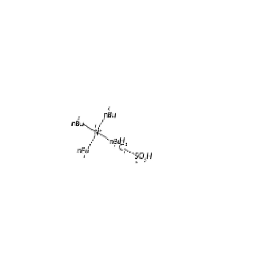 CCCC[N+](CCCC)(CCCC)CCCC.CS(=O)(=O)O